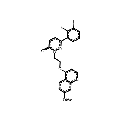 COc1ccc2c(OCCn3nc(-c4cccc(F)c4F)ccc3=O)ccnc2c1